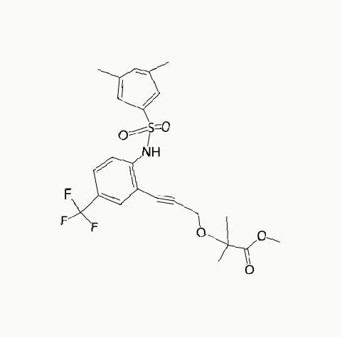 COC(=O)C(C)(C)OCC#Cc1cc(C(F)(F)F)ccc1NS(=O)(=O)c1cc(C)cc(C)c1